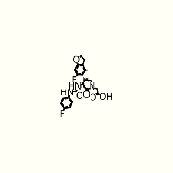 O=C(O)CN1C[C@@H](c2cc3c(cc2F)OCC3)[C@@H](NC(=O)Nc2ccc(F)cc2)C1=O